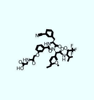 C=C(/C=C\C(=C/C)OC)[C@H](NC(=O)[C@H](Cc1cccc(C#N)c1)NC(=O)c1cccc(OCC(=O)NCC(=O)O)c1)C(=O)N[C@H](C(=O)C(F)(F)F)C(C)C